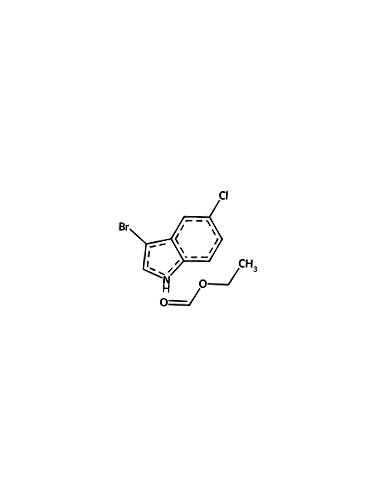 CCOC=O.Clc1ccc2[nH]cc(Br)c2c1